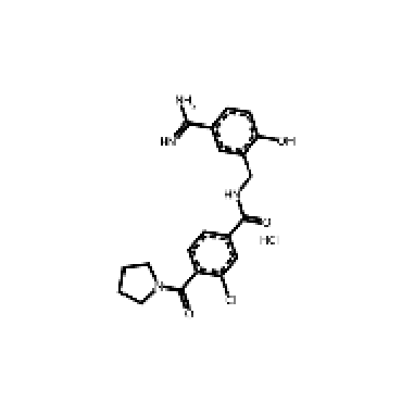 Cl.N=C(N)c1ccc(O)c(CNC(=O)c2ccc(C(=O)N3CCCC3)c(Cl)c2)c1